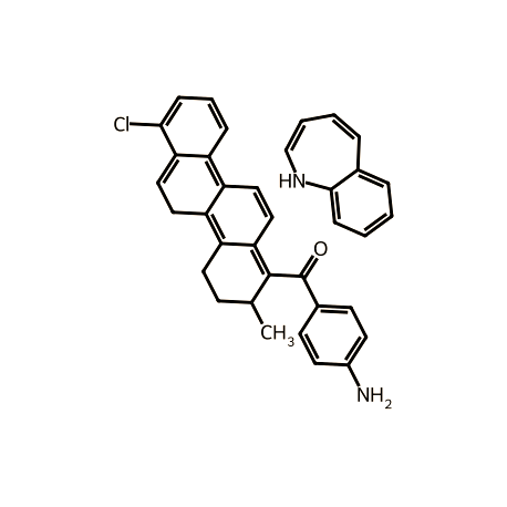 C1=CNc2ccccc2C=C1.CC1CCc2c3c(ccc2=C1C(=O)c1ccc(N)cc1)=c1cccc(Cl)c1=CC3